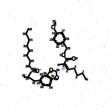 CCCC/C=C(/C)C(=O)OCc1ccc(OC)cc1.CCCCCCCC[S+]([O-])C(C)Cc1ccc2c(c1)OCO2